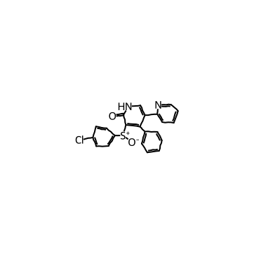 O=c1[nH]cc(-c2ccccn2)c(-c2ccccc2)c1[S+]([O-])c1ccc(Cl)cc1